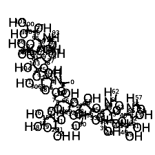 CC(=O)N[C@H]1[C@H](OC[C@H]2O[C@@H](O[C@H]3[C@H](O)[C@@H](O)[C@H](O)O[C@@H]3CO)[C@H](O)[C@@H](O[C@H]3O[C@H](CO)[C@H](O)[C@H](O[C@@H]4O[C@H](CO)[C@H](O)[C@H](O[C@H]5O[C@H](CO)[C@H](O)[C@H](O)[C@H]5NC(C)=O)[C@H]4NC(C)=O)[C@H]3O)[C@H]2O)O[C@H](CO)[C@@H](O[C@@H]2O[C@H](CO)[C@H](O)[C@H](O[C@]3(C(=O)O)C[C@H](O)[C@@H](NC(C)=O)[C@H]([C@H](O)[C@H](O)CO)O3)[C@H]2O)[C@@H]1O